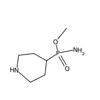 COP(N)(=O)C1CCNCC1